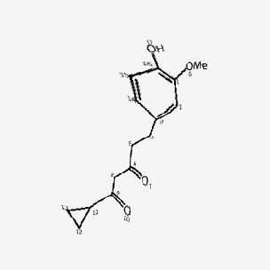 COc1cc(CCC(=O)CC(=O)C2CC2)ccc1O